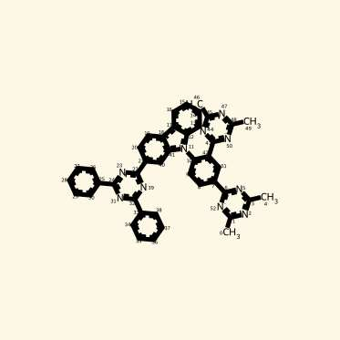 Cc1nc(C)nc(-c2ccc(-n3c4ccccc4c4ccc(-c5nc(-c6ccccc6)nc(-c6ccccc6)n5)cc43)c(-c3nc(C)nc(C)n3)c2)n1